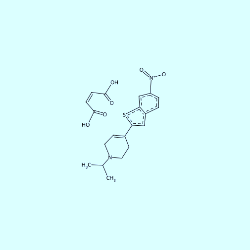 CC(C)N1CC=C(c2cc3ccc([N+](=O)[O-])cc3s2)CC1.O=C(O)/C=C\C(=O)O